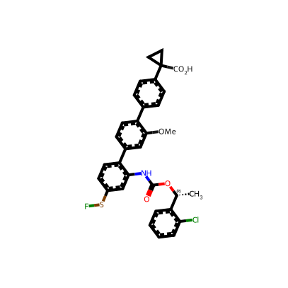 COc1cc(-c2ccc(SF)cc2NC(=O)O[C@H](C)c2ccccc2Cl)ccc1-c1ccc(C2(C(=O)O)CC2)cc1